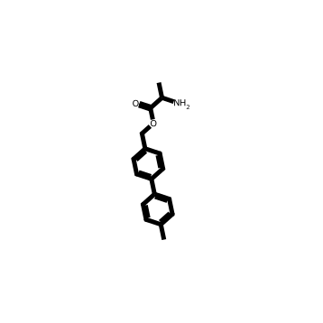 Cc1ccc(-c2ccc(COC(=O)C(C)N)cc2)cc1